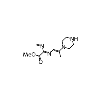 C=N/C(=N\C=C(/C)N1CCNCC1)C(=O)OC